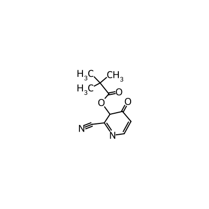 CC(C)(C)C(=O)OC1C(=O)C=CN=C1C#N